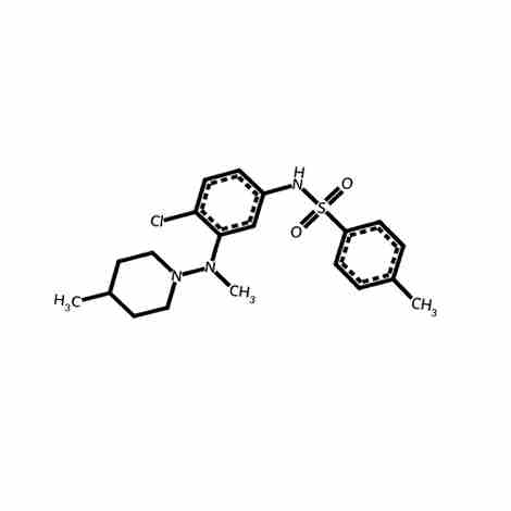 Cc1ccc(S(=O)(=O)Nc2ccc(Cl)c(N(C)N3CCC(C)CC3)c2)cc1